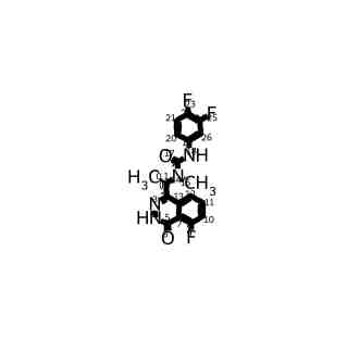 C[C@H](c1n[nH]c(=O)c2c(F)cccc12)N(C)C(=O)Nc1ccc(F)c(F)c1